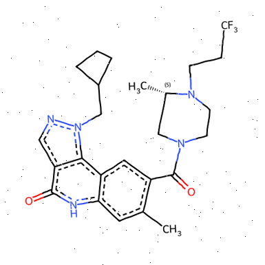 Cc1cc2[nH]c(=O)c3cnn(CC4CCC4)c3c2cc1C(=O)N1CCN(CCC(F)(F)F)[C@@H](C)C1